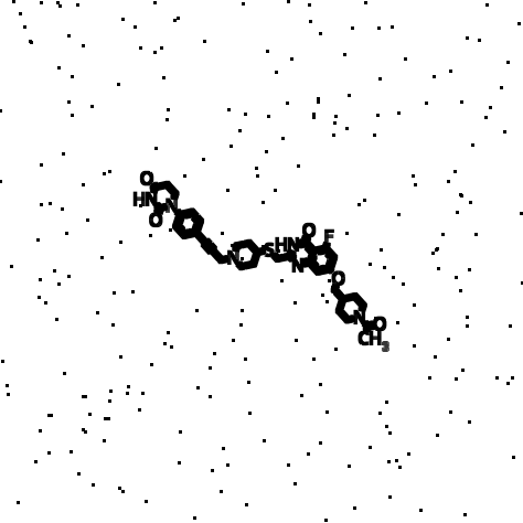 CC(=O)N1CCC(COc2cc(F)c3c(=O)[nH]c(CSC4CCN(CC#Cc5ccc(N6CCC(=O)NC6=O)cc5)CC4)nc3c2)CC1